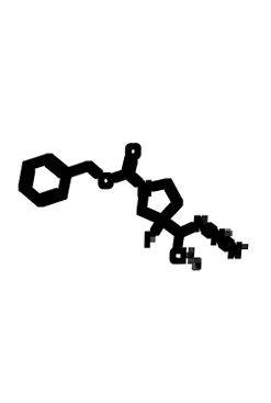 CC(N=[N+]=[N-])C1(F)CCN(C(=O)OCc2ccccc2)C1